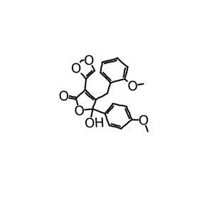 COc1ccc(C2(O)OC(=O)C(C3=COCO3)=C2Cc2ccccc2OC)cc1